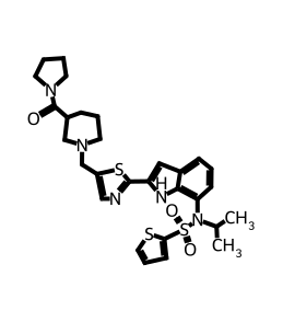 CC(C)N(c1cccc2cc(-c3ncc(CN4CCCC(C(=O)N5CCCC5)C4)s3)[nH]c12)S(=O)(=O)c1cccs1